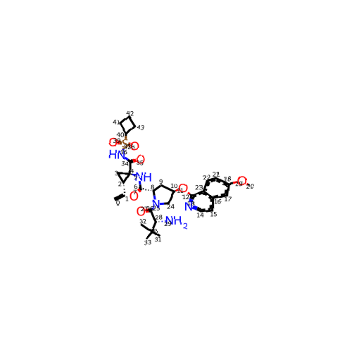 C=C[C@@H]1C[C@]1(NC(=O)[C@@H]1C[C@@H](Oc2nccc3cc(OC)ccc23)CN1C(=O)[C@H](N)C(C)(C)C)C(=O)NS(=O)(=O)C1CCC1